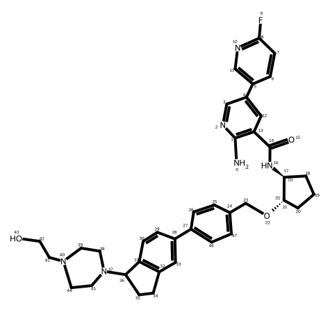 Nc1ncc(-c2ccc(F)nc2)cc1C(=O)N[C@H]1CCC[C@@H]1OCc1ccc(-c2ccc3c(c2)CCC3N2CCN(CCO)CC2)cc1